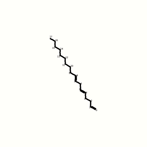 C=CCCC=CCC=CCCCCCCCCC